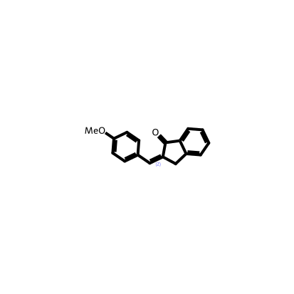 COc1ccc(/C=C2/Cc3ccccc3C2=O)cc1